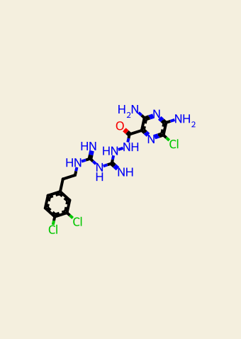 N=C(NCCc1ccc(Cl)c(Cl)c1)NC(=N)NNC(=O)c1nc(Cl)c(N)nc1N